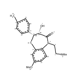 CNCCN1C(=O)[C@@H](O)[C@@H](c2ccc(C)cc2)Sc2cc(OC)ccc21